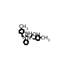 Cc1ccc(C[C@@H](CO)n2c(=N)n(Cc3ccc(C)cc3)c3ccccc32)cc1